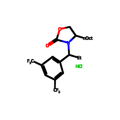 CCCCCCCCC1COC(=O)N1C(CC)c1cc(C(F)(F)F)cc(C(F)(F)F)c1.Cl